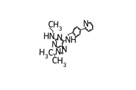 CCCNc1nc(NCc2ccc(-c3ccccn3)cc2)c2ncn(C(C)C)c2n1